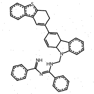 N=C(/N=C(\NCN1c2ccccc2C2C=C(C3=Cc4c(sc5ccccc45)CC3)C=CC21)c1ccccc1)c1ccccc1